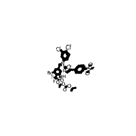 CC(C)OC(=O)OC(C)OP(=O)(O)C(F)(F)c1ccc(CN(c2ccc(Cl)c(Cl)c2)c2ncc(-c3ccc(S(C)(=O)=O)cc3)o2)cc1Br